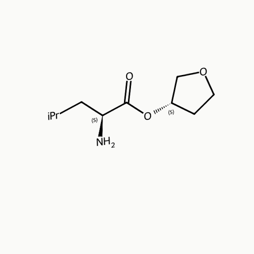 CC(C)C[C@H](N)C(=O)O[C@H]1CCOC1